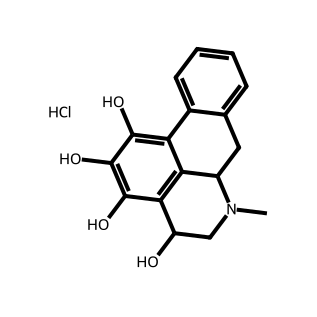 CN1CC(O)c2c(O)c(O)c(O)c3c2C1Cc1ccccc1-3.Cl